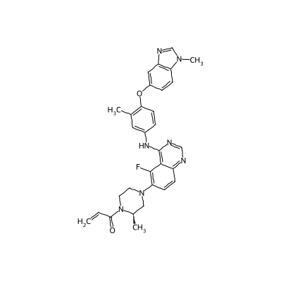 C=CC(=O)N1CCN(c2ccc3ncnc(Nc4ccc(Oc5ccc6c(c5)ncn6C)c(C)c4)c3c2F)C[C@H]1C